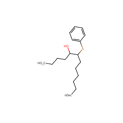 CCCCCCCCCCCCCCCC(Sc1ccccc1)C(O)CCCC(=O)O